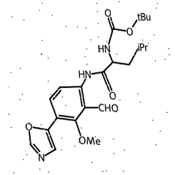 COc1c(-c2cnco2)ccc(NC(=O)C(CC(C)C)NC(=O)OC(C)(C)C)c1C=O